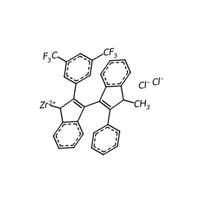 CC1C(c2ccccc2)=C(C2=C(c3cc(C(F)(F)F)cc(C(F)(F)F)c3)[CH]([Zr+2])c3ccccc32)c2ccccc21.[Cl-].[Cl-]